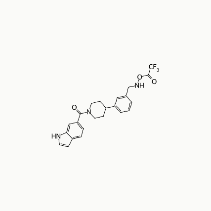 O=C(c1ccc2cc[nH]c2c1)N1CCC(c2cccc(CNOC(=O)C(F)(F)F)c2)CC1